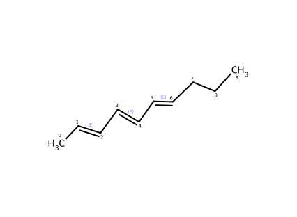 C/C=C/C=C/C=C/CCC